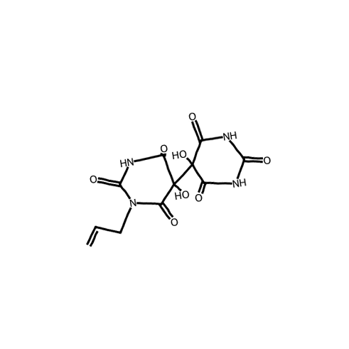 C=CCN1C(=O)NC(=O)C(O)(C2(O)C(=O)NC(=O)NC2=O)C1=O